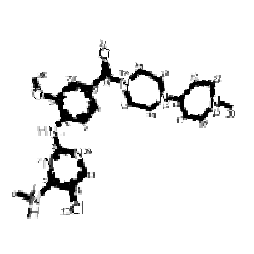 CNc1nc(Nc2ccc(C(=O)N3CCN(C4CCN(C)CC4)CC3)cc2OC)ncc1Cl